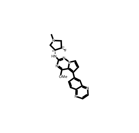 COc1nc(N[C@@H]2CN(C)C[C@@H]2F)nn2ccc(-c3ccc4nccnc4c3)c12